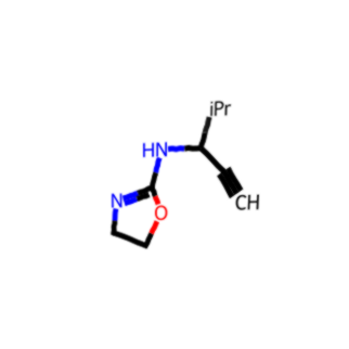 C#CC(NC1=NCCO1)C(C)C